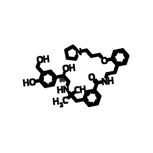 CC(C)(Cc1cccc(C(=O)NCCc2ccccc2OCCCN2CCCC2)c1)NC[C@H](O)c1ccc(O)c(CO)c1